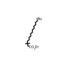 CCOC(=O)CC(C)(C)CCCCCCCCCCCCC(C)(C)C